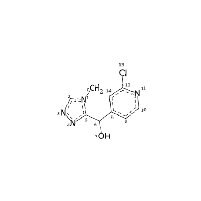 Cn1cnnc1C(O)c1ccnc(Cl)c1